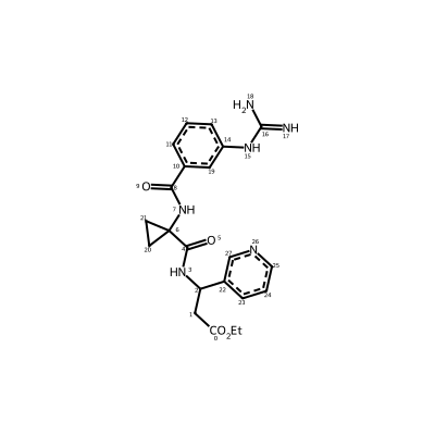 CCOC(=O)CC(NC(=O)C1(NC(=O)c2cccc(NC(=N)N)c2)CC1)c1cccnc1